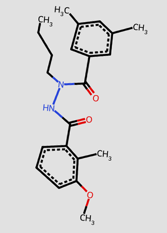 CCCCN(NC(=O)c1cccc(OC)c1C)C(=O)c1cc(C)cc(C)c1